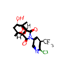 CC12C[C@H](O)C(C)(O1)[C@@H]1C(=O)N(c3cnc(Cl)c(C(F)(F)F)c3)C(=O)[C@@H]12